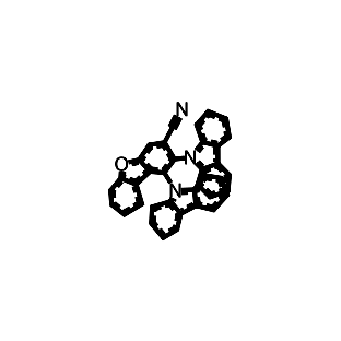 N#Cc1cc2oc3ccccc3c2c(-n2c3ccccc3c3ccccc32)c1-n1c2ccccc2c2ccccc21